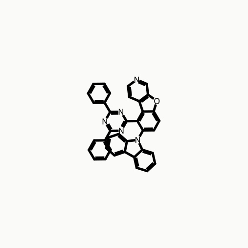 c1ccc(-c2nc(-c3ccccc3)nc(-c3c(-n4c5ccccc5c5ccccc54)ccc4oc5cnccc5c34)n2)cc1